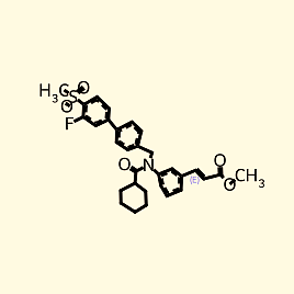 COC(=O)/C=C/c1cccc(N(Cc2ccc(-c3ccc(S(C)(=O)=O)c(F)c3)cc2)C(=O)C2CCCCC2)c1